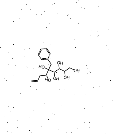 C=CCC(O)C(O)(Cc1ccccc1)C(O)C(O)C(O)CO